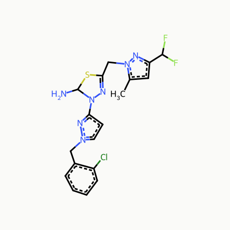 Cc1cc(C(F)F)nn1CC1=NN(c2ccn(Cc3ccccc3Cl)n2)C(N)S1